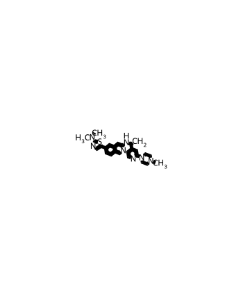 C=C(Nc1cc2cc(-c3cnc(N(C)C)s3)ccc2cn1)c1ccnc(N2CCN(C)CC2)c1